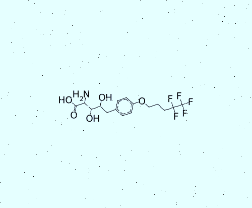 NC(C(=O)O)C(O)C(O)Cc1ccc(OCCCC(F)(F)C(F)(F)F)cc1